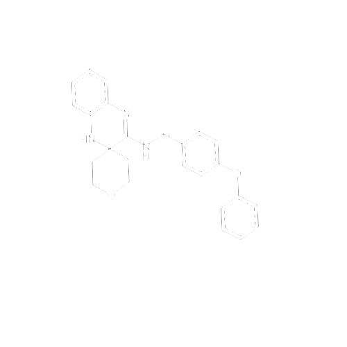 c1ccc(Oc2ccc(CNC3=Nc4ccccc4NC34CCOCC4)cc2)cc1